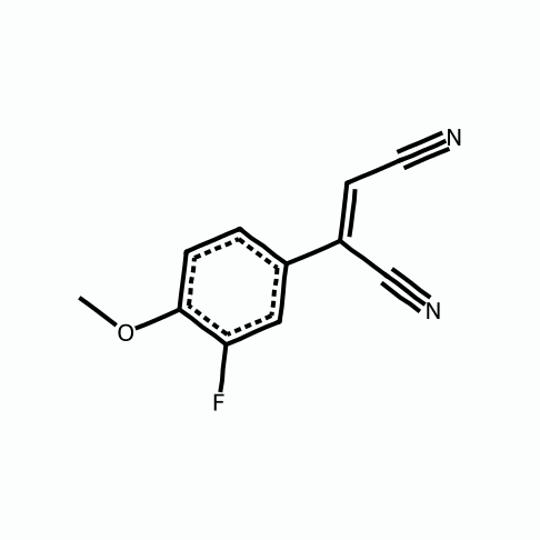 COc1ccc(/C(C#N)=C/C#N)cc1F